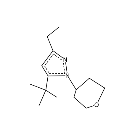 CCc1cc(C(C)(C)C)n(C2CCOCC2)n1